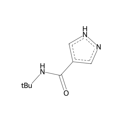 CC(C)(C)NC(=O)c1cn[nH]c1